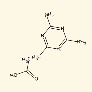 CC(=O)O.Cc1nc(N)nc(N)n1